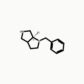 c1ccc(CN2CCC3CNC[C@H]32)cc1